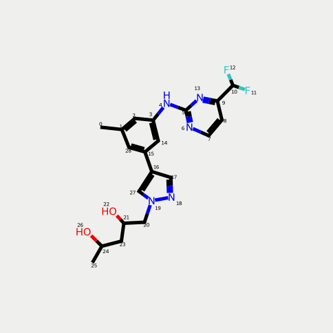 Cc1cc(Nc2nccc(C(F)F)n2)cc(-c2cnn(CC(O)CC(C)O)c2)c1